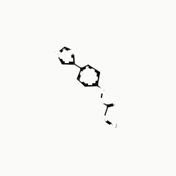 N=NC(=O)NNc1ccc(-c2cncs2)cc1